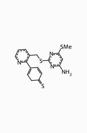 CSc1cc(N)nc(SCc2cccnc2C2=CCC(=S)C=C2)n1